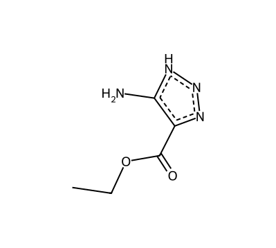 CCOC(=O)c1nn[nH]c1N